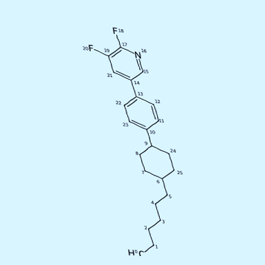 CCCCCCC1CCC(c2ccc(-c3cnc(F)c(F)c3)cc2)CC1